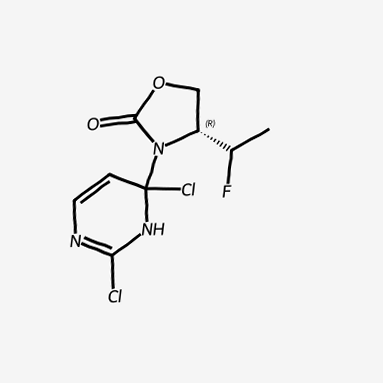 CC(F)[C@H]1COC(=O)N1C1(Cl)C=CN=C(Cl)N1